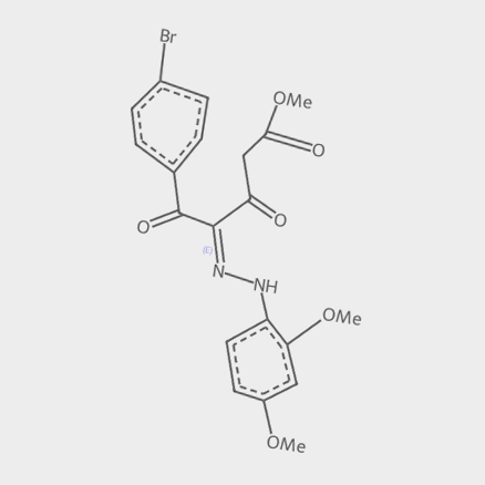 COC(=O)CC(=O)/C(=N\Nc1ccc(OC)cc1OC)C(=O)c1ccc(Br)cc1